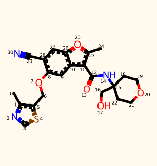 Cc1ncsc1COc1cc2c(C(=O)NC3(CO)CCOCC3)c(C)oc2cc1C#N